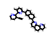 C#Cc1cccnc1-c1nc(-c2ccc3ccc(-c4ccc5ccc6cccnc6c5n4)cc3c2)ccc1C